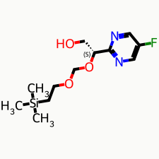 C[Si](C)(C)CCOCO[C@H](CO)c1ncc(F)cn1